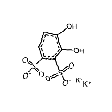 O=S(=O)([O-])c1ccc(O)c(O)c1S(=O)(=O)[O-].[K+].[K+]